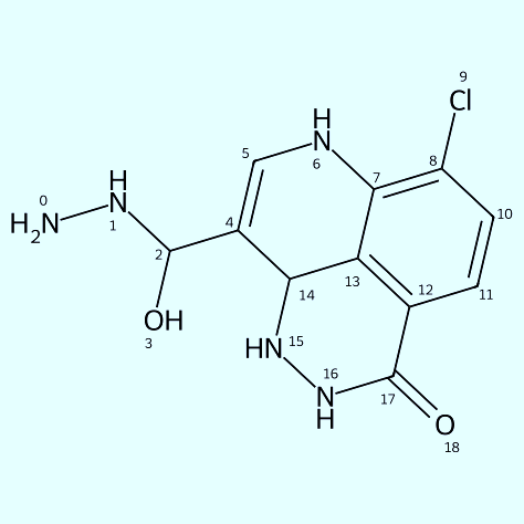 NNC(O)C1=CNc2c(Cl)ccc3c2C1NNC3=O